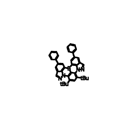 CC(C)(C)c1cc(C(C)(C)C)c2c3c1-n1ncc4cc(-c5ccccc5)cc(c41)B3c1cc(-c3ccccc3)cc3cnn-2c13